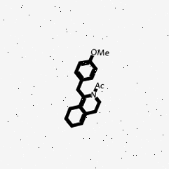 COc1ccc(CC2=C3CCCC=C3CCN2C(C)=O)cc1